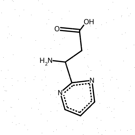 NC(CC(=O)O)c1ncccn1